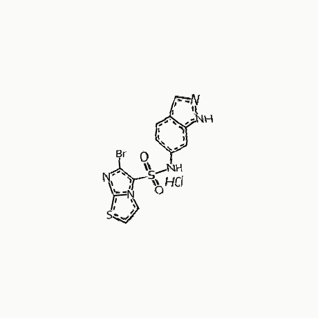 Cl.O=S(=O)(Nc1ccc2cn[nH]c2c1)c1c(Br)nc2sccn12